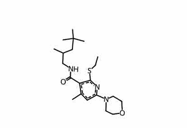 CCSc1nc(N2CCOCC2)cc(C)c1C(=O)NCC(C)CC(C)(C)C